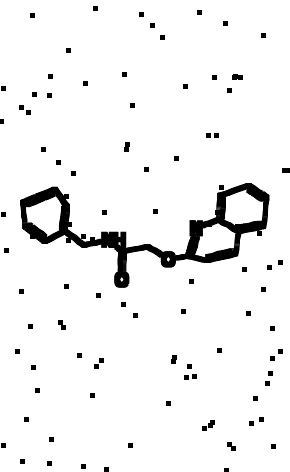 O=C(COc1ccc2ccccc2n1)NCc1ccccc1